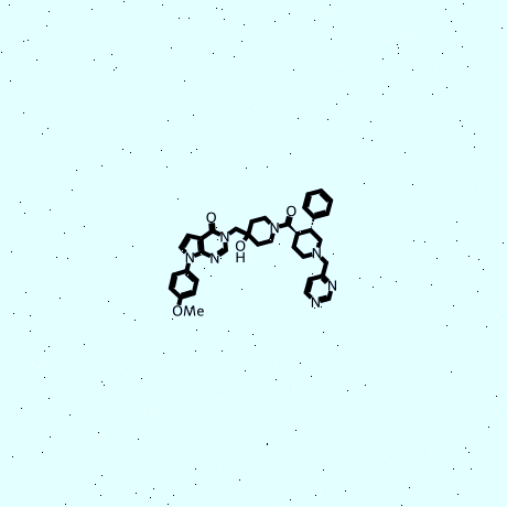 COc1ccc(-n2ccc3c(=O)n(CC4(O)CCN(C(=O)[C@@H]5CCN(Cc6ccncn6)C[C@H]5c5ccccc5)CC4)cnc32)cc1